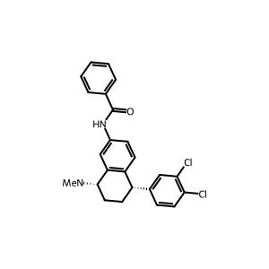 CN[C@H]1CC[C@@H](c2ccc(Cl)c(Cl)c2)c2ccc(NC(=O)c3ccccc3)cc21